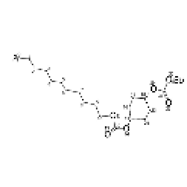 CC(C)CCCCCCCCCCOC(=O)OC1CCC(OC(=O)OCC(C)C)CC1